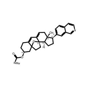 CNC(=O)O[C@H]1CCC2=CC3=CC[C@]4(C)[C@@H](c5ccc6ccncc6c5)CC[C@H]4[C@@]34CCC2(C1)O4